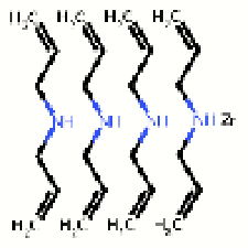 C=CCNCC=C.C=CCNCC=C.C=CCNCC=C.C=CCNCC=C.[Zr]